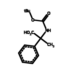 CC(C)(C)OC(=O)NC(C)(C(=O)O)c1ccccc1